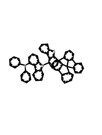 c1ccc(N(c2ccccc2)c2cccc3c2c2ccccc2n3-c2ccc(-c3cccc4c3C3(c5ccccc5-c5ccccc53)c3ccccc3-4)c3sc4ccccc4c23)cc1